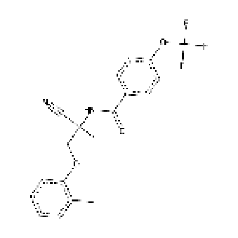 Cc1ccccc1OCC(C)(C#N)NC(=O)c1ccc(OC(F)(F)F)cc1